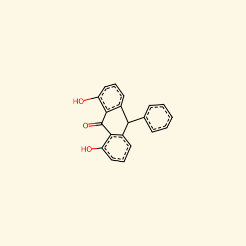 O=C1c2c(O)cccc2C(c2ccccc2)c2cccc(O)c21